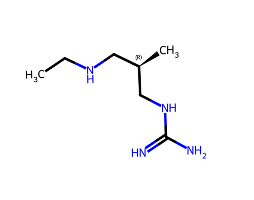 CCNC[C@@H](C)CNC(=N)N